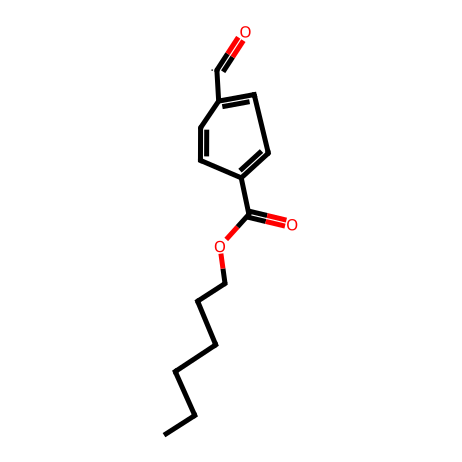 CCCCCCOC(=O)c1ccc([C]=O)cc1